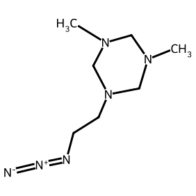 CN1CN(C)CN(CCN=[N+]=[N-])C1